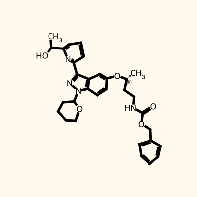 CC(O)c1cccc(-c2nn(C3CCCCO3)c3ccc(O[C@H](C)CCNC(=O)OCc4ccccc4)cc23)n1